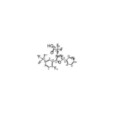 Fc1ccc(C(F)(F)F)cc1-c1nnc(-c2cccnc2)o1.O=C(O)C(F)(F)F